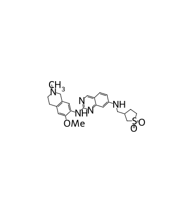 COc1cc2c(cc1Nc1ncc3ccc(NCC4CCS(=O)(=O)C4)cc3n1)CN(C)CC2